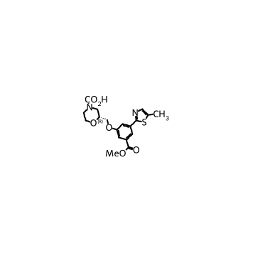 COC(=O)c1cc(OC[C@H]2CN(C(=O)O)CCO2)cc(-c2ncc(C)s2)c1